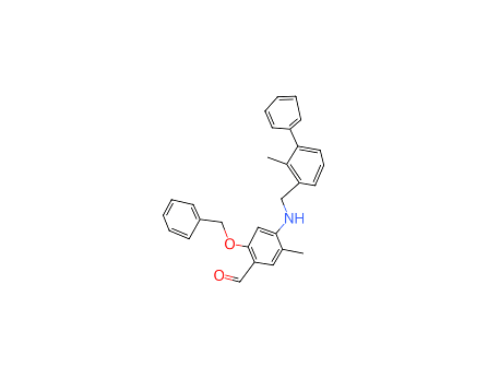 Cc1cc(C=O)c(OCc2ccccc2)cc1NCc1cccc(-c2ccccc2)c1C